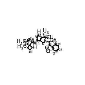 CO[C@@H](C(=O)N1Cc2c(NC(=O)C3([Si](C)(C)C)CCC3)n[nH]c2C1(C)C)c1ccccc1F